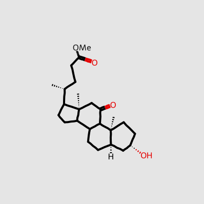 COC(=O)CC[C@@H](C)C1CCC2C3CC[C@@H]4C[C@@H](O)CC[C@]4(C)C3C(=O)C[C@@]21C